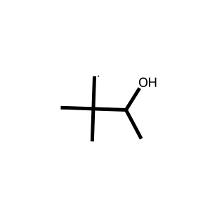 [CH2]C(C)(C)C(C)O